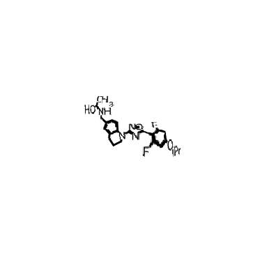 CC(O)NCc1ccc2c(c1)CCCN2c1noc(-c2c(F)cc(OC(C)C)cc2F)n1